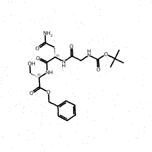 CC(C)(C)OC(=O)NCC(=O)N[C@@H](CC(N)=O)C(=O)N[C@@H](CO)C(=O)OCc1ccccc1